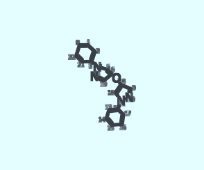 c1ccc(-n2cc(Oc3cnn(-c4ccccc4)c3)cn2)cc1